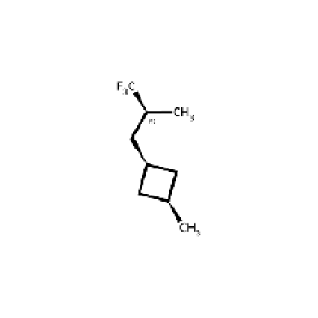 C[C@@H](C[C@H]1C[C@@H](C)C1)C(F)(F)F